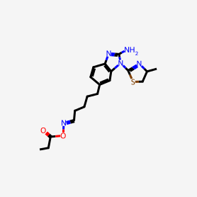 CCC(=O)ON=CCCCCc1ccc2nc(N)n(C3=NC(C)CS3)c2c1